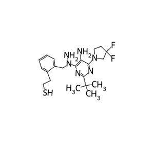 CC(C)(C)c1nc(N(N)Cc2ccccc2CCS)c(N)c(N2CCC(F)(F)C2)n1